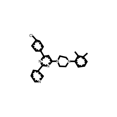 Cc1cccc(N2CCN(c3cc(-c4ccc(Cl)cc4)nc(-c4cccnc4)n3)CC2)c1C